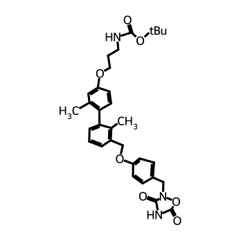 Cc1cc(OCCCNC(=O)OC(C)(C)C)ccc1-c1cccc(COc2ccc(Cn3oc(=O)[nH]c3=O)cc2)c1C